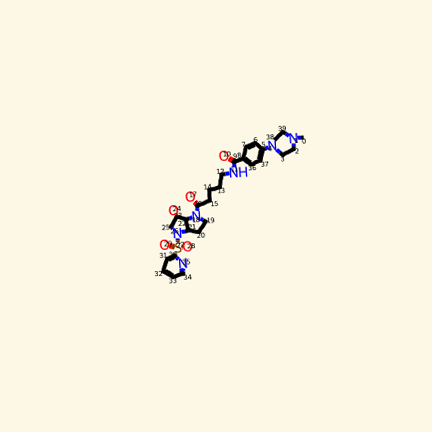 CN1CCN(c2ccc(C(=O)NCCCCC(=O)N3CCC4C3C(=O)CN4S(=O)(=O)c3ccccn3)cc2)CC1